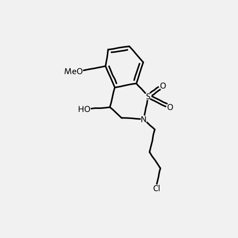 COc1cccc2c1C(O)CN(CCCCl)S2(=O)=O